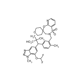 Cc1ccc(C(c2cc(OC(F)F)c3c(c2)nnn3C)C(C)(C)C(=O)O)cc1CN1CC2(CCOCC2)Oc2ncccc2S1(=O)=O